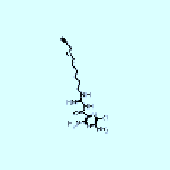 C#CCOCCCCCCNC(=N)NC(=O)c1nc(Cl)c(N)nc1N